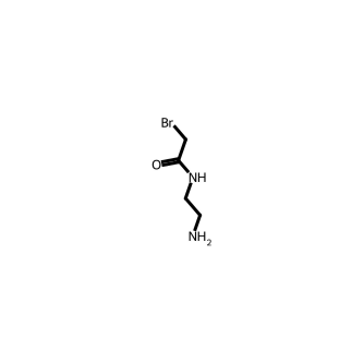 NCCNC(=O)CBr